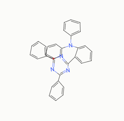 c1ccc(-c2nc(-c3ccccc3)nc(-c3ccccc3N(c3ccccc3)c3ccccc3)n2)cc1